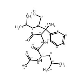 CC(C)CC(CO)[C@](N)(c1ccccc1)C(C=O)NC(=O)[C@H](CC(C)C)NC(=O)O